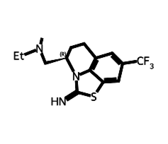 CCN(C)C[C@H]1CCc2cc(C(F)(F)F)cc3sc(=N)n1c23